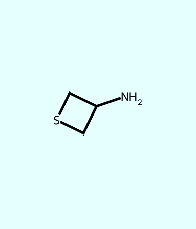 NC1[CH]SC1